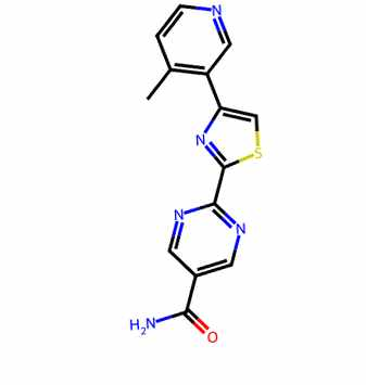 Cc1ccncc1-c1csc(-c2ncc(C(N)=O)cn2)n1